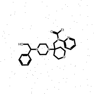 CCC(=O)N(CC1(N2CCN(C(CO)c3ccccc3)CC2)CCOCC1)c1ccccn1